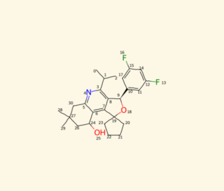 CC(C)c1nc2c(c3c1[C@@H](c1cc(F)cc(F)c1)OC31CCCC1)C(O)CC(C)(C)C2